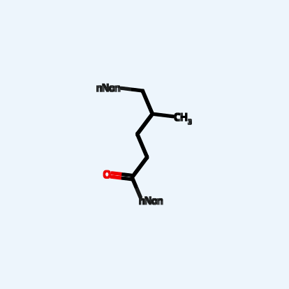 CCCCCCCCCCC(C)CCC(=O)CCCCCCCCC